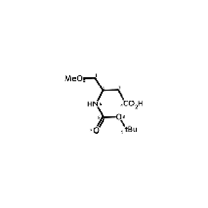 COCC(CC(=O)O)NC(=O)OC(C)(C)C